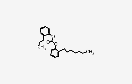 CCCCCCCc1ccccc1OC(=O)Oc1ccccc1CCC